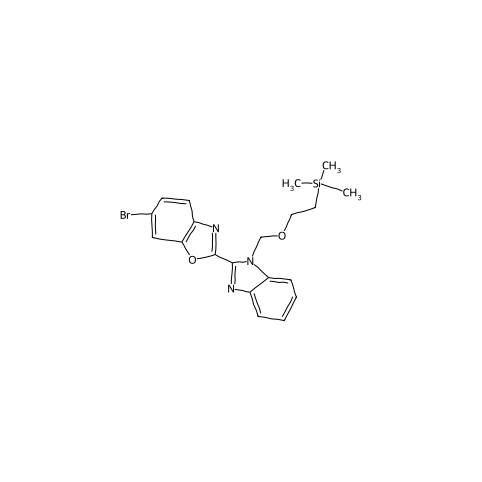 C[Si](C)(C)CCOCn1c(-c2nc3ccc(Br)cc3o2)nc2ccccc21